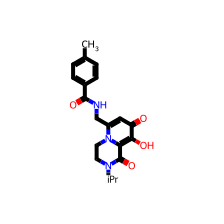 Cc1ccc(C(=O)NCc2cc(=O)c(O)c3n2CCN(C(C)C)C3=O)cc1